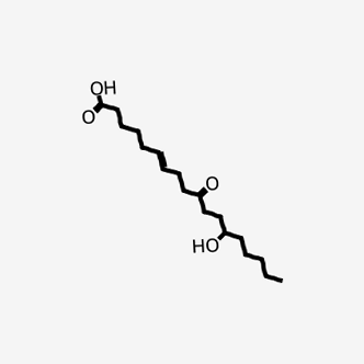 CCCCCC(O)CCC(=O)CCC=CCCCCC(=O)O